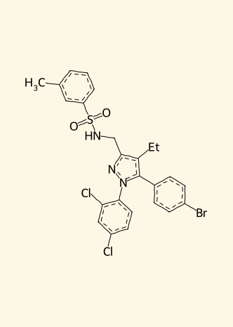 CCc1c(CNS(=O)(=O)c2cccc(C)c2)nn(-c2ccc(Cl)cc2Cl)c1-c1ccc(Br)cc1